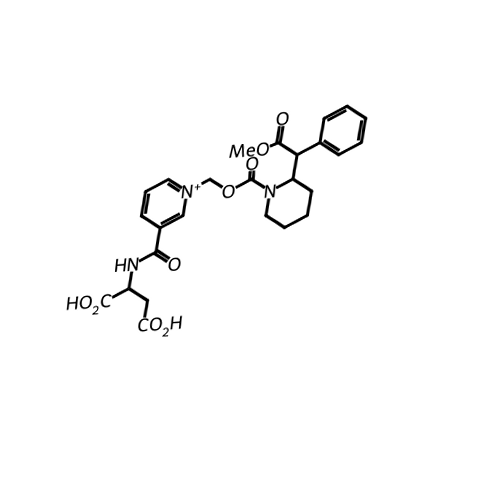 COC(=O)C(c1ccccc1)C1CCCCN1C(=O)OC[n+]1cccc(C(=O)NC(CC(=O)O)C(=O)O)c1